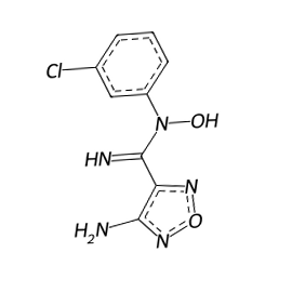 N=C(c1nonc1N)N(O)c1cccc(Cl)c1